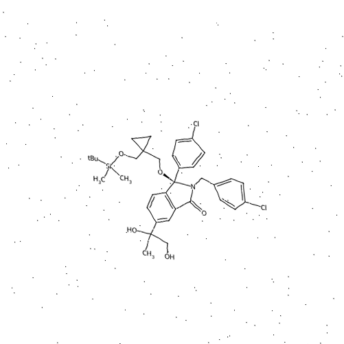 CC(O)(CO)c1ccc2c(c1)C(=O)N(Cc1ccc(Cl)cc1)[C@@]2(OCC1(CO[Si](C)(C)C(C)(C)C)CC1)c1ccc(Cl)cc1